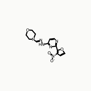 O=[N+]([O-])c1ccoc1-c1nccc(NN=CN2CCOCC2)n1